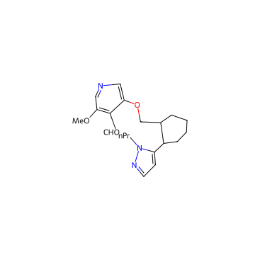 CCCn1nccc1C1CCCCC1COc1cncc(OC)c1C=O